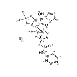 O=C(C[N+]12CCC(CC1)[C@@H](OC(=O)C(O)(c1ccsc1)C1CCC(F)(F)C1)C2)Nc1ncncn1.[Br-]